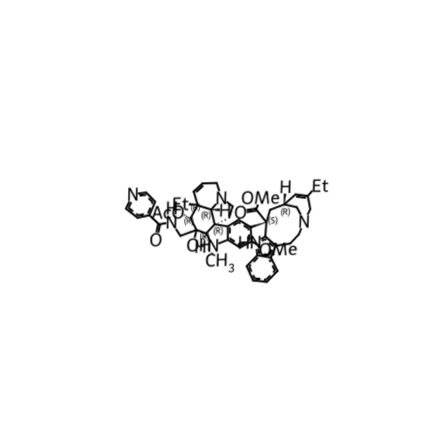 CCC1=C[C@@H]2CN(CCc3c([nH]c4ccccc34)[C@@](C(=O)OC)(c3cc4c(cc3OC)N(C)[C@H]3C(O)(CNC(=O)c5ccncc5)[C@H](OC(C)=O)[C@]5(CC)C=CCN6CC[C@]43[C@@H]65)C2)C1